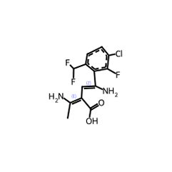 C/C(N)=C(/C=C(\N)c1c(C(F)F)ccc(Cl)c1F)C(=O)O